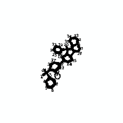 CC1(C)c2ccccc2Oc2cc(-c3ccc4c(c3)C(C)(c3ccccc3)c3c-4ccc4ccccc34)ccc21